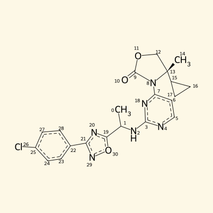 CC(Nc1nccc(N2C(=O)OC[C@]2(C)C2CC2)n1)c1nc(-c2ccc(Cl)cc2)no1